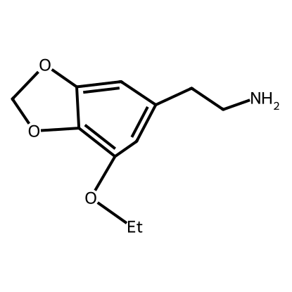 CCOc1cc(CCN)cc2c1OCO2